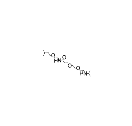 CC(C)CCOCCNC(=O)CCOCCOCCNC(C)C